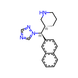 c1ccc2cc([C@H]([C@H]3CCCNC3)n3cncn3)ccc2c1